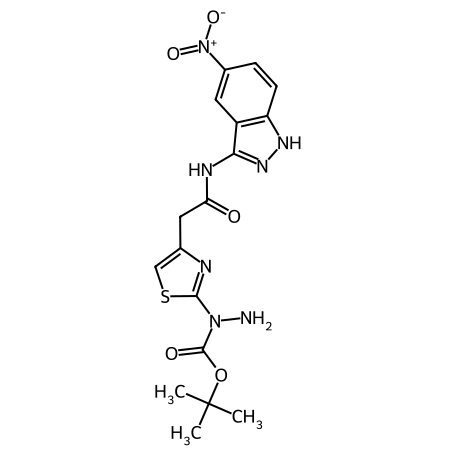 CC(C)(C)OC(=O)N(N)c1nc(CC(=O)Nc2n[nH]c3ccc([N+](=O)[O-])cc23)cs1